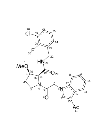 CO[C@@H]1CCN(C(=O)Cn2cc(C(C)=O)c3ccccc32)[C@@H]1C(=O)NCc1cccc(Cl)c1F